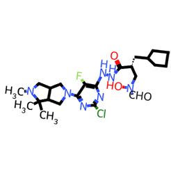 CN1CC2CN(c3nc(Cl)nc(NNC(=O)[C@H](CC4CCCC4)CN(O)C=O)c3F)CC2C1(C)C